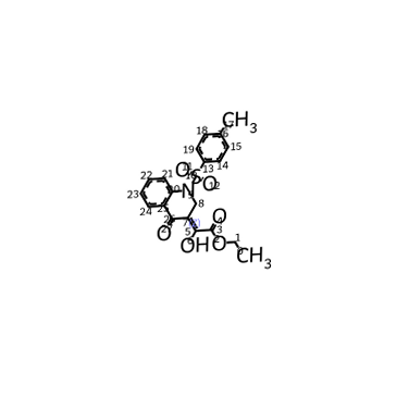 CCOC(=O)/C(O)=C1\CN(S(=O)(=O)c2ccc(C)cc2)c2ccccc2C1=O